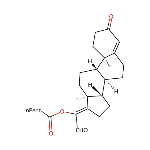 CCCCCC(=O)O/C(C=O)=C1/CC[C@H]2[C@@H]3CCC4=CC(=O)CC[C@]4(C)[C@H]3CC[C@]12C